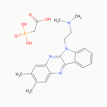 Cc1cc2nc3c4ccccc4n(CCN(C)C)c3nc2cc1C.O=C(O)CP(=O)(O)O